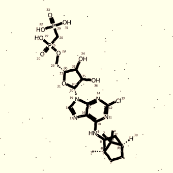 CC1(C)[C@@H]2CC[C@@]1(C)C(Nc1nc(Cl)nc3c1ncn3[C@@H]1O[C@H](COP(=O)(O)CP(=O)(O)O)C(O)C1O)C2